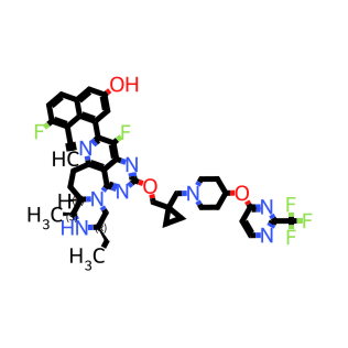 C#Cc1c(F)ccc2cc(O)cc(-c3nc4c5c(nc(OCC6(CN7CCC(Oc8ccnc(C(F)(F)F)n8)CC7)CC6)nc5c3F)N3C[C@@H](CC)N[C@@H](C)[C@H]3CC4)c12